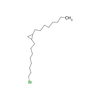 CCCCCCCCC1CC1CCCCCCCCBr